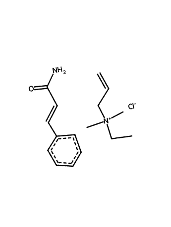 C=CC[N+](C)(C)CC.NC(=O)C=Cc1ccccc1.[Cl-]